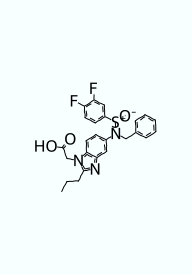 CCCc1nc2cc(N(Cc3ccccc3)[S+]([O-])c3ccc(F)c(F)c3)ccc2n1CC(=O)O